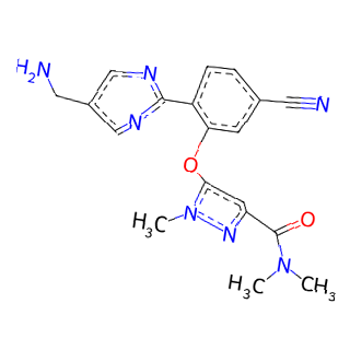 CN(C)C(=O)c1cc(Oc2cc(C#N)ccc2-c2ncc(CN)cn2)n(C)n1